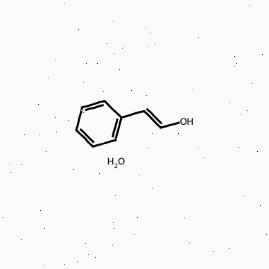 O.OC=Cc1ccccc1